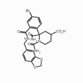 NC(=O)N1CCC(C(=O)O)CC1(C(N)=O)c1ccc(Br)cc1C(=O)NCc1ccc2c(c1)OCO2